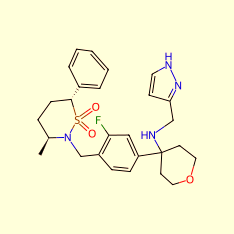 C[C@H]1CC[C@H](c2ccccc2)S(=O)(=O)N1Cc1ccc(C2(NCc3cc[nH]n3)CCOCC2)cc1F